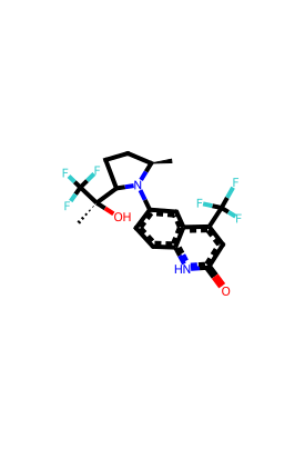 C[C@@H]1CCC([C@@](C)(O)C(F)(F)F)N1c1ccc2[nH]c(=O)cc(C(F)(F)F)c2c1